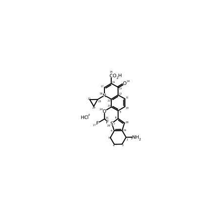 Cl.NC1CCCc2sc(-c3ccc4c(=O)c(C(=O)O)cn(C5CC5)c4c3OC(F)F)cc21